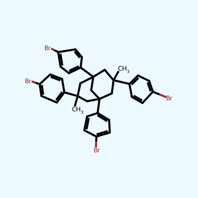 CC1(c2ccc(Br)cc2)CC2(c3ccc(Br)cc3)CC(C)(c3ccc(Br)cc3)CC(c3ccc(Br)cc3)(C1)C2